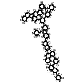 c1ccc(-c2ccc3c(-c4cccc(-c5ccc6c7c(cc8ccccc8c57)-c5cc7ccc(-c8ccc9c%10ccc(-c%11cc(-c%12ccc%13c%14ccccc%14n(-c%14ccccc%14)c%13c%12)cc(-c%12ccc%13c%14c(cc%15ccccc%15c%12%14)-c%12ccc%14ccccc%14c%12-%13)c%11)cc%10n(-c%10ccccc%10)c9c8)cc7cc5-6)c4)cccc3c2)cc1